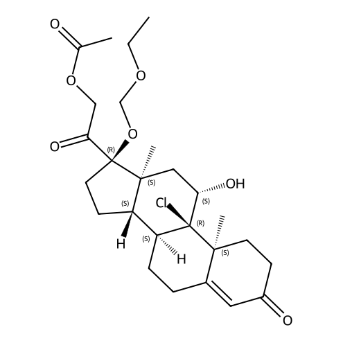 CCOCO[C@]1(C(=O)COC(C)=O)CC[C@H]2[C@@H]3CCC4=CC(=O)CC[C@]4(C)[C@@]3(Cl)[C@@H](O)C[C@@]21C